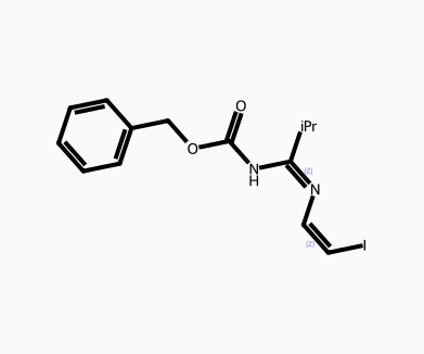 CC(C)/C(=N/C=C\I)NC(=O)OCc1ccccc1